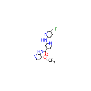 O=C(Nc1cnccc1OCC(F)(F)F)c1ccnc(Nc2ccc(CF)cn2)c1